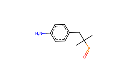 CC(C)(Cc1ccc(N)cc1)P=O